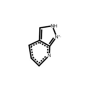 C1=c2cccnc2=[N+]N1